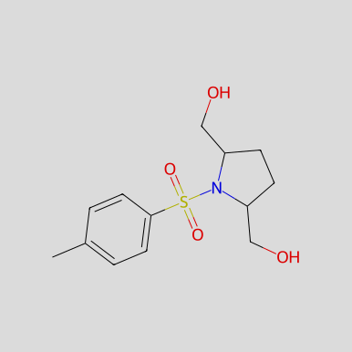 Cc1ccc(S(=O)(=O)N2C(CO)CCC2CO)cc1